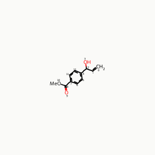 C=CC(O)c1ccc(C(=O)OC)cc1